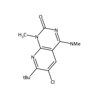 CNc1nc(=O)n(C)c2nc(C(C)(C)C)c(Cl)cc12